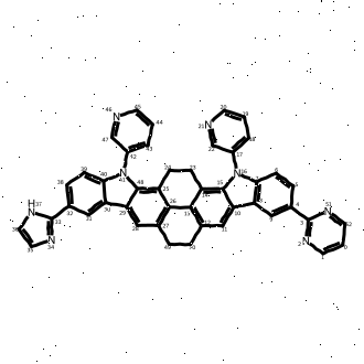 c1cnc(-c2ccc3c(c2)c2cc4c5c(c2n3-c2cccnc2)CCc2c-5c(cc3c5cc(-c6ncc[nH]6)ccc5n(-c5cccnc5)c23)CC4)nc1